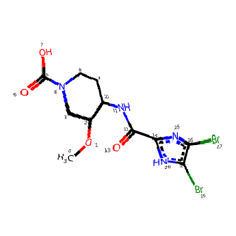 COC1CN(C(=O)O)CCC1NC(=O)c1nc(Br)c(Br)[nH]1